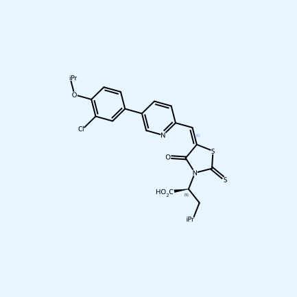 CC(C)C[C@@H](C(=O)O)N1C(=O)/C(=C\c2ccc(-c3ccc(OC(C)C)c(Cl)c3)cn2)SC1=S